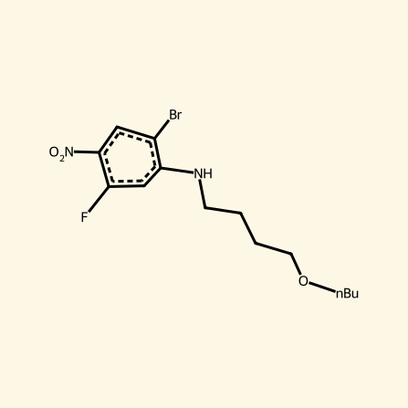 CCCCOCCCCNc1cc(F)c([N+](=O)[O-])cc1Br